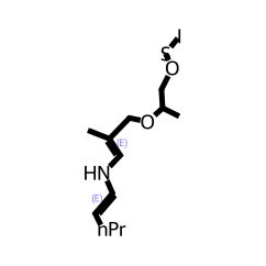 CCC/C=C/N/C=C(\C)COC(C)COSI